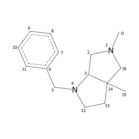 CN1CC2N(Cc3ccccc3)CCC2(C)C1